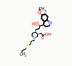 CCCSCCCN1CC[C@@H](CCC(O)c2ccnc3ccc(OC)cc23)[C@@H](CC(=O)O)C1